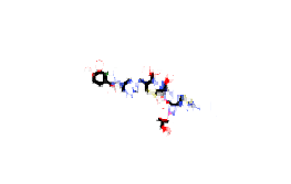 CC(C)(C=O)O/N=C(\C(=O)N[C@@H]1C(=O)N2C(C(=O)O)=C(C[n+]3cncc(NC(=O)c4ccc(O)c(O)c4Cl)c3)CS[C@H]12)c1csc(N)n1